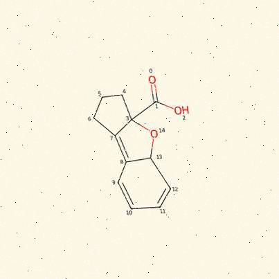 O=C(O)C12CCCC1=C1C=CC=CC1O2